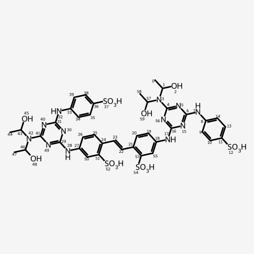 CC(O)N(c1nc(Nc2ccc(S(=O)(=O)O)cc2)nc(Nc2ccc(C=Cc3ccc(Nc4nc(Nc5ccc(S(=O)(=O)O)cc5)nc(N(C(C)O)C(C)O)n4)cc3S(=O)(=O)O)c(S(=O)(=O)O)c2)n1)C(C)O